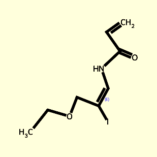 C=CC(=O)N/C=C(/I)COCC